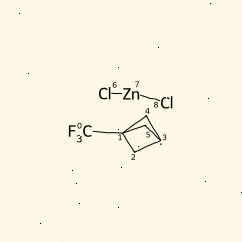 FC(F)(F)C12C[C](C1)C2.[Cl][Zn][Cl]